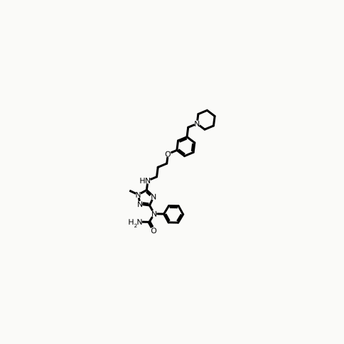 Cn1nc(N(C(N)=O)c2ccccc2)nc1NCCCOc1cccc(CN2CCCCC2)c1